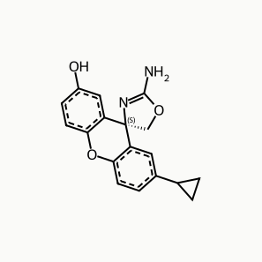 NC1=N[C@]2(CO1)c1cc(O)ccc1Oc1ccc(C3CC3)cc12